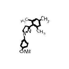 COc1ccc(N2CCC(c3c(C)cc(C)cc3C)=N2)cc1